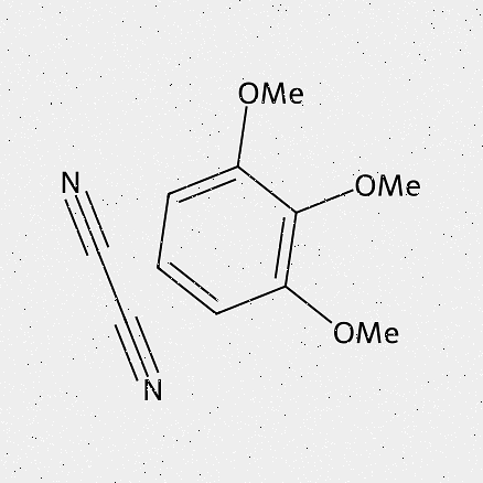 COc1cccc(OC)c1OC.N#CC#N